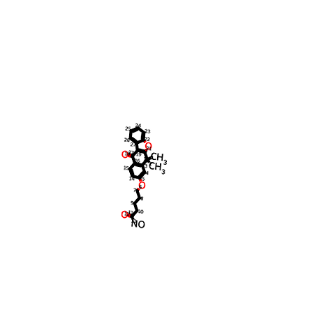 CC1(C)c2cc(OCCCCC(=O)N=O)ccc2C(=O)c2c1oc1ccccc21